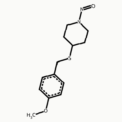 COc1ccc(CSC2CCN(N=O)CC2)cc1